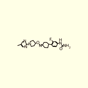 Cc1cnc(N2CCC(ON=C3CCC(c4ccc(NC(N)=O)cc4F)CC3)CC2)nc1